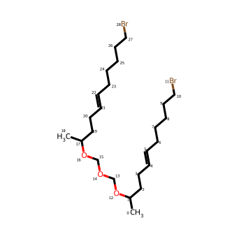 CC(CCC=CCCCCCBr)OCOCOC(C)CCC=CCCCCCBr